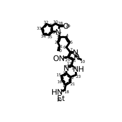 C=C/C=C(\C=C/Cc1nn(C)c(C2=Nc3ccc(CNCC)cc3CN2)c1N=O)N1C(=O)Cc2ccccc21